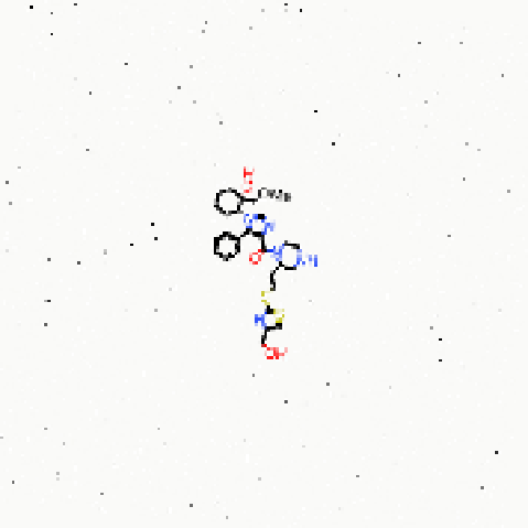 COC[C@]1(O)CCCC[C@H]1n1cnc(C(=O)N2CCNC[C@H]2CCSc2nc(CO)cs2)c1-c1ccccc1